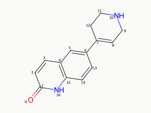 O=c1ccc2cc(C3=CCNCC3)ccc2[nH]1